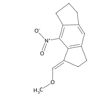 COC=C1CCc2cc3c(c([N+](=O)[O-])c21)CCC3